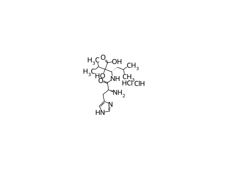 CC(C)C[C@H](NC(=O)[C@@H](N)Cc1c[nH]cn1)C(O)(C(=O)O)C(C)C.Cl.Cl